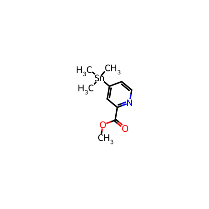 COC(=O)c1c[c]([Sn]([CH3])([CH3])[CH3])ccn1